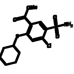 COC(=O)c1cc(S(N)(=O)=O)c(Cl)cc1SC1CCCCC1